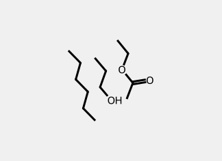 CCCCCC.CCCO.CCOC(C)=O